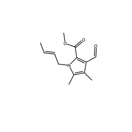 CC=CCn1c(C)c(C)c(C=O)c1C(=O)OC